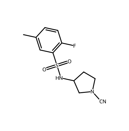 Cc1ccc(F)c(S(=O)(=O)NC2CCN(C#N)C2)c1